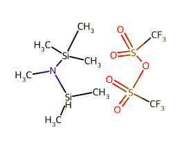 CN([SiH](C)C)[Si](C)(C)C.O=S(=O)(OS(=O)(=O)C(F)(F)F)C(F)(F)F